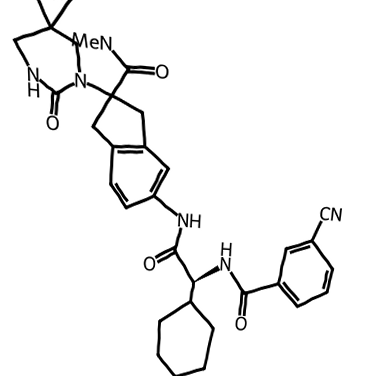 CNC(=O)C1(N2CC3(CC3)CNC2=O)Cc2ccc(NC(=O)[C@@H](NC(=O)c3cccc(C#N)c3)C3CCCCC3)cc2C1